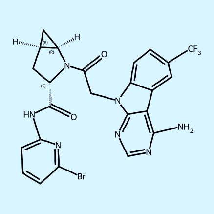 Nc1ncnc2c1c1cc(C(F)(F)F)ccc1n2CC(=O)N1[C@@H]2C[C@@H]2C[C@H]1C(=O)Nc1cccc(Br)n1